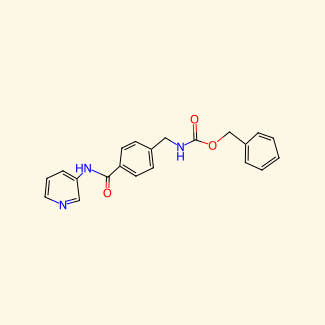 O=C(NCc1ccc(C(=O)Nc2cccnc2)cc1)OCc1ccccc1